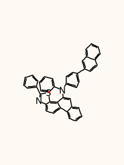 c1ccc(-c2nc3ccc4c5ccccc5cc(N(c5ccccc5)c5ccc(-c6ccc7ccccc7c6)cc5)c4c3s2)cc1